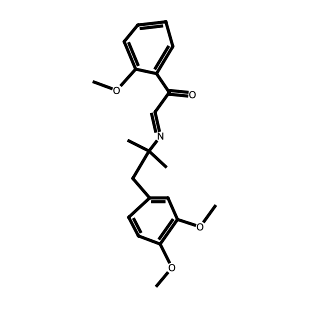 COc1ccc(CC(C)(C)/N=C/C(=O)c2ccccc2OC)cc1OC